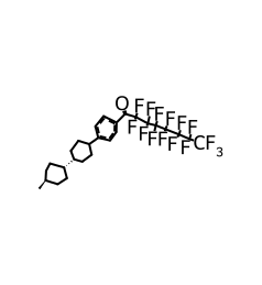 C[C@H]1CC[C@H](C2CCC(c3ccc(C(=O)C(F)(F)C(F)(F)C(F)(F)C(F)(F)C(F)(F)C(F)(F)C(F)(F)F)cc3)CC2)CC1